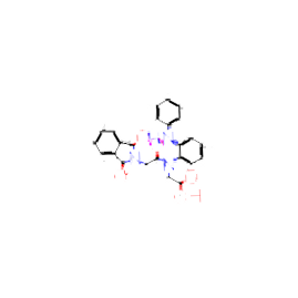 O=C(O)CN(C(=O)CN1C(=O)c2ccccc2C1=O)c1ccccc1Nc1ccccc1